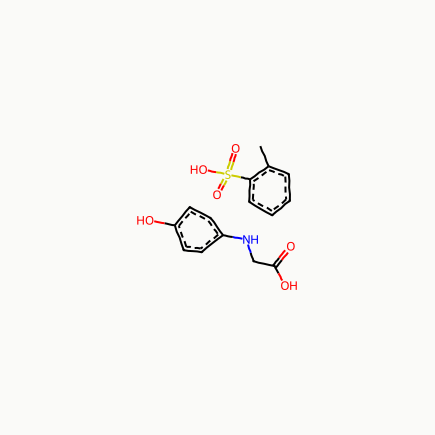 Cc1ccccc1S(=O)(=O)O.O=C(O)CNc1ccc(O)cc1